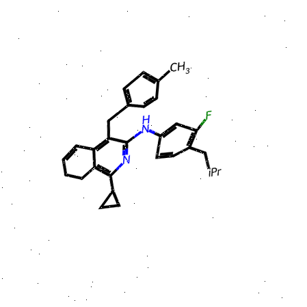 Cc1ccc(Cc2c(Nc3ccc(CC(C)C)c(F)c3)nc(C3CC3)c3c2C=CCC3)cc1